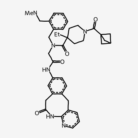 CCC1(C(=O)N(CC(=O)Nc2ccc3c(c2)CC(=O)Nc2ncccc2C3)Cc2ccccc2CNC)CCN(C(=O)C23CC(C2)C3)CC1